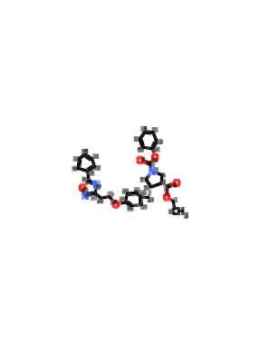 CCOC(=O)[C@H]1CN(C(=O)Oc2ccccc2)C[C@H]1Cc1ccc(OCCc2noc(-c3ccccc3)n2)cc1